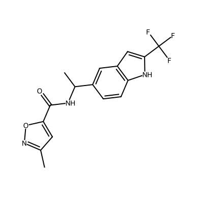 Cc1cc(C(=O)NC(C)c2ccc3[nH]c(C(F)(F)F)cc3c2)on1